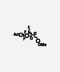 COc1ccc(C=CC(=O)c2cn(CCF)c3c(F)c(N4CCN(C(C)=O)CC4)c(F)cc3c2=O)cc1